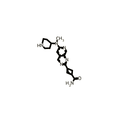 CN(c1cc2cnc(C34CC(C(N)=O)(C3)C4)nc2cn1)C1CCNCC1